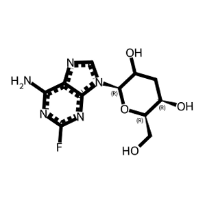 Nc1nc(F)nc2c1ncn2[C@@H]1O[C@H](CO)[C@H](O)CC1O